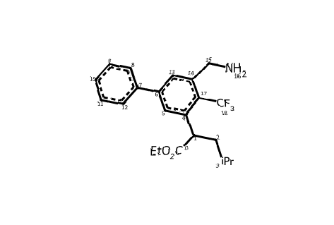 CCOC(=O)C(CC(C)C)c1cc(-c2ccccc2)cc(CN)c1C(F)(F)F